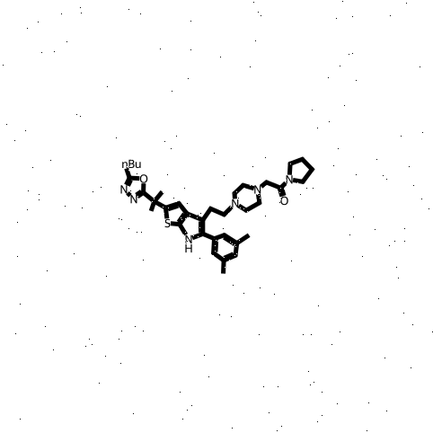 CCCCc1nnc(C(C)(C)c2cc3c(CCN4CCN(CC(=O)N5CCCC5)CC4)c(-c4cc(C)cc(C)c4)[nH]c3s2)o1